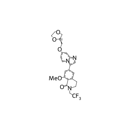 COc1cc(-c2cnc3cc(OC[C@@H]4COCCO4)ccn23)cc2c1C(=O)N(CC(F)(F)F)CC2